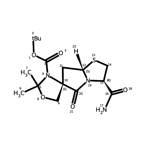 CC(C)(C)OC(=O)N1C(C)(C)OC[C@]12C[C@@H]1SC[C@@H](C(N)=O)N1C2=O